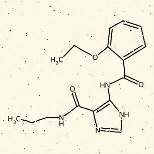 CCCNC(=O)c1nc[nH]c1NC(=O)c1ccccc1OCC